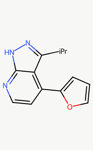 CC(C)c1n[nH]c2nccc(-c3ccco3)c12